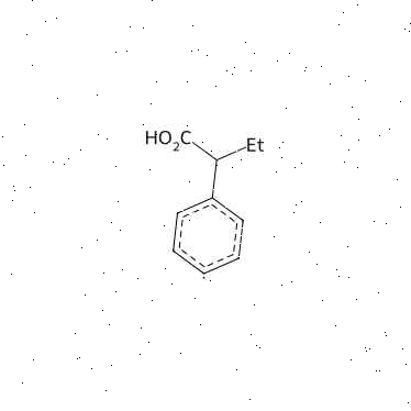 CCC(C(=O)O)c1cc[c]cc1